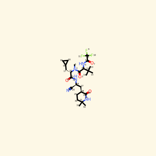 CN(C(=O)C(NC(=O)C(F)(F)F)C(C)(C)C)[C@@H](CC1CC1)C(=O)N[C@H](C#N)C[C@@H]1CCC(C)(C)NC1=O